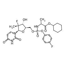 CC(NP(=O)(OC[C@H]1O[C@@H](n2ccc(=O)[nH]c2=O)[C@](C)(F)[C@@H]1O)Oc1ccc(F)cc1)C(=O)OC1CCCCC1